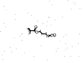 C=C(C)C(=O)OCCCN=C=O